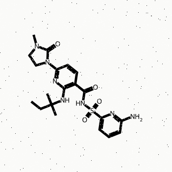 CCC(C)(C)Nc1nc(N2CCN(C)C2=O)ccc1C(=O)NS(=O)(=O)c1cccc(N)n1